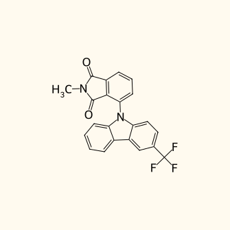 CN1C(=O)c2cccc(-n3c4ccccc4c4cc(C(F)(F)F)ccc43)c2C1=O